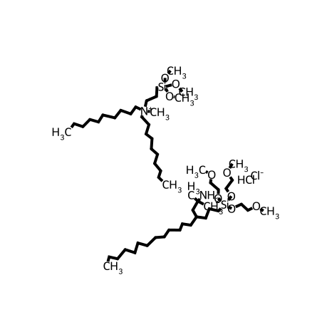 CCCCCCCCCCCCCC(CCC[Si](OCCOC)(OCCOC)OCCOC)CC(C)(C)N.CCCCCCCCCC[N+](C)(CCCCCCCCCC)CCC[Si](OC)(OC)OC.Cl.[Cl-]